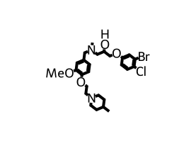 COc1cc(CN(C)CC(O)COc2ccc(Cl)c(Br)c2)ccc1OCCN1CCC(C)CC1